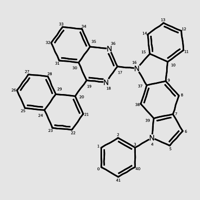 c1ccc(-n2ccc3cc4c5ccccc5n(-c5nc(-c6cccc7ccccc67)c6ccccc6n5)c4cc32)cc1